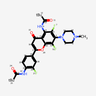 CN1CCN(c2c(F)c(NC(=O)C(C)(C)C)c3c(=O)cc(-c4ccc(NC(=O)C(C)(C)C)c(F)c4)oc3c2F)CC1